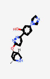 C[C@]12C[C@H](CN1)[C@@H](Oc1ccc(-c3ccc(-n4ccnc4)cc3O)nn1)C2